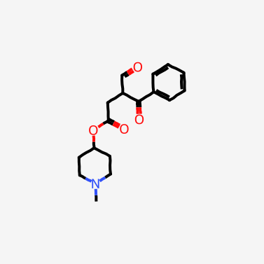 CN1CCC(OC(=O)CC(C=O)C(=O)c2ccccc2)CC1